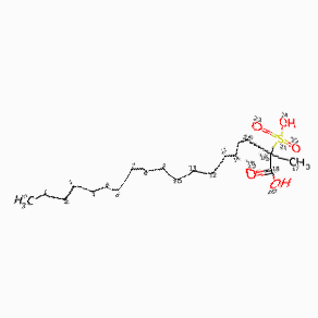 CCCCCCCCCCCCCCCCC(C)(C(=O)O)S(=O)(=O)O